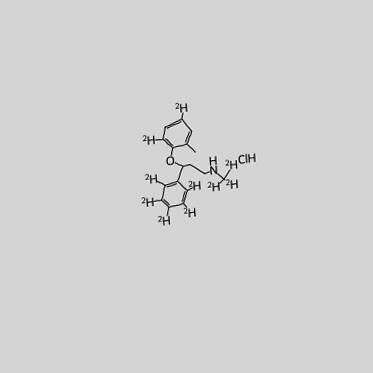 Cl.[2H]c1cc([2H])c(OC(CCNC([2H])([2H])[2H])c2c([2H])c([2H])c([2H])c([2H])c2[2H])c(C)c1